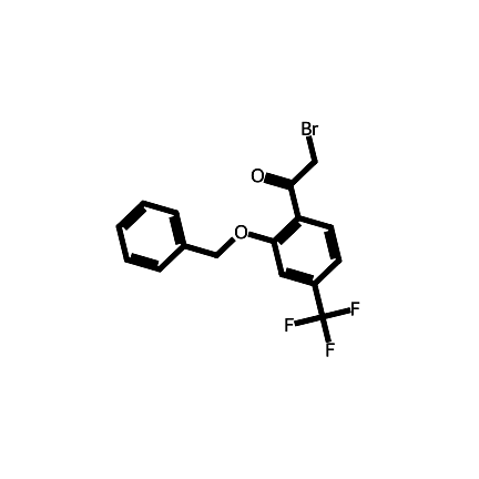 O=C(CBr)c1ccc(C(F)(F)F)cc1OCc1ccccc1